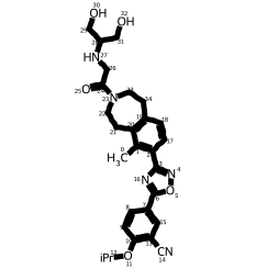 Cc1c(-c2noc(-c3ccc(OC(C)C)c(C#N)c3)n2)ccc2c1CCN(C(=O)CNC(CO)CO)CC2